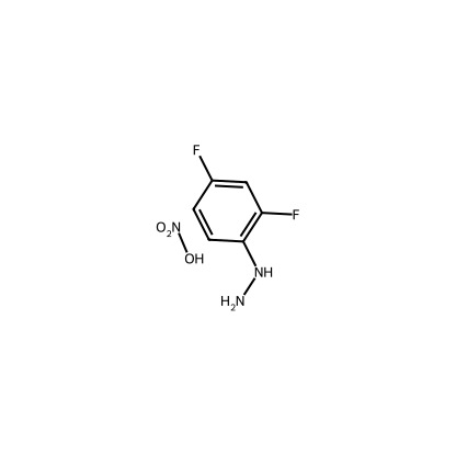 NNc1ccc(F)cc1F.O=[N+]([O-])O